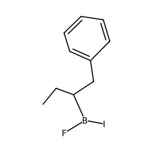 CCC(Cc1ccccc1)B(F)I